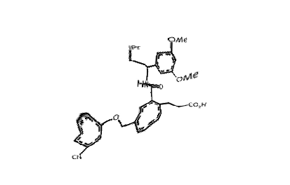 [C-]#[N+]c1cccc(OCc2ccc(CCC(=O)O)c(C(=O)NC(CC(C)C)c3cc(OC)cc(OC)c3)c2)c1